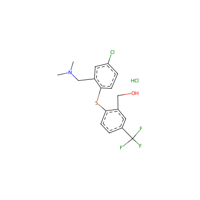 CN(C)Cc1cc(Cl)ccc1Sc1ccc(C(F)(F)F)cc1CO.Cl